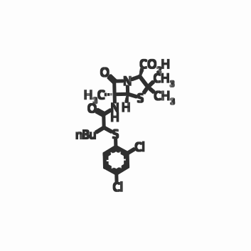 CCCCC(Sc1ccc(Cl)cc1Cl)C(=O)N[C@@]1(C)C(=O)N2[C@@H](C(=O)O)C(C)(C)S[C@@H]21